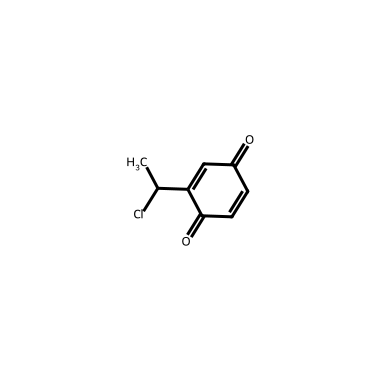 CC(Cl)C1=CC(=O)C=CC1=O